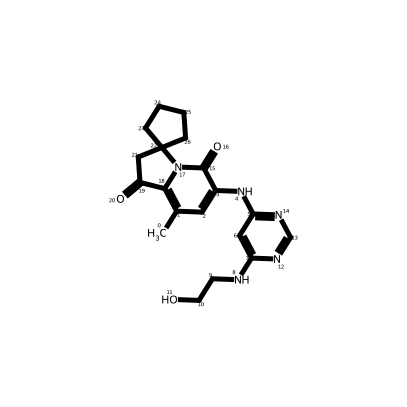 Cc1cc(Nc2cc(NCCO)ncn2)c(=O)n2c1C(=O)CC21CCCC1